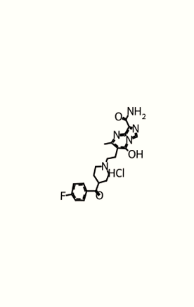 Cc1nc2c(C(N)=O)ncn2c(O)c1CCN1CCC(C(=O)c2ccc(F)cc2)CC1.Cl